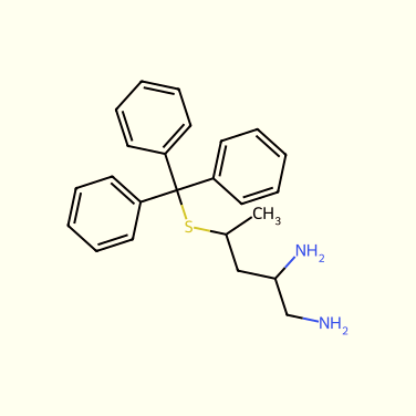 CC(CC(N)CN)SC(c1ccccc1)(c1ccccc1)c1ccccc1